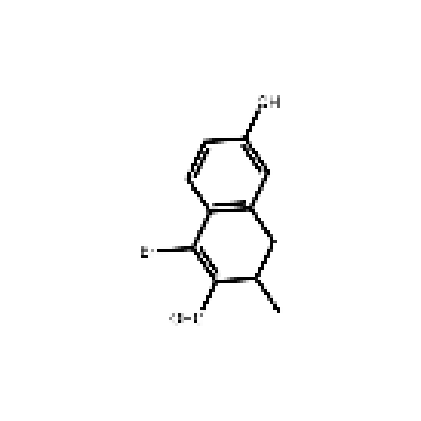 CC1Cc2cc(O)ccc2C(Br)=C1C=O